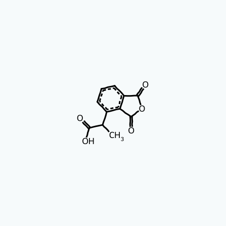 CC(C(=O)O)c1cccc2c1C(=O)OC2=O